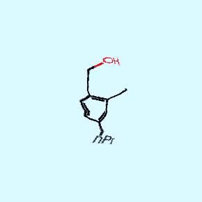 CCCc1ccc(CO)c(C)c1